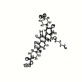 C=CCCCOc1nnc(N[C@H](C)c2cccc(C(F)(F)C3CCN(C(=O)OC(C)(C)C)CC3)c2F)c2cc(C3CCS(=O)(=O)CC3)c(=O)n(C)c12